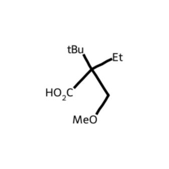 CCC(COC)(C(=O)O)C(C)(C)C